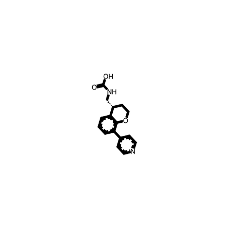 O=C(O)NC[C@@H]1CCOc2c(-c3ccncc3)cccc21